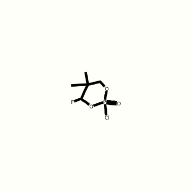 CC1(C)COP(=O)(Cl)OC1F